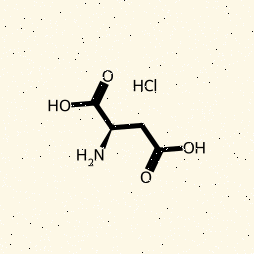 Cl.N[C@H](CC(=O)O)C(=O)O